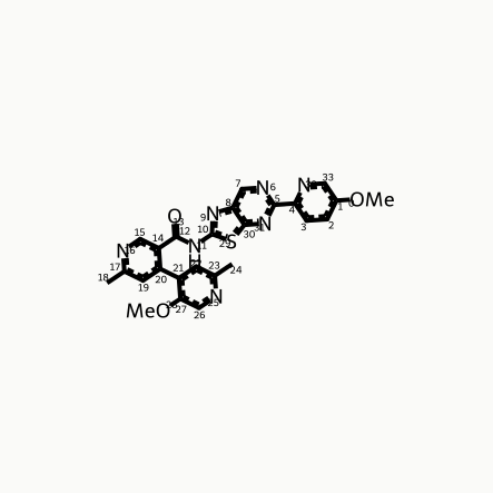 COc1ccc(-c2ncc3nc(NC(=O)c4cnc(C)cc4-c4cc(C)ncc4OC)sc3n2)nc1